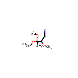 COC(CI)C([SiH3])(OC)OC